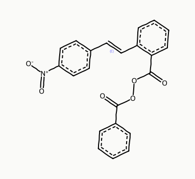 O=C(OOC(=O)c1ccccc1/C=C/c1ccc([N+](=O)[O-])cc1)c1ccccc1